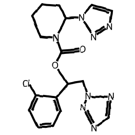 O=C(OC(Cn1ncnn1)c1ccccc1Cl)N1CCCCC1n1ccnn1